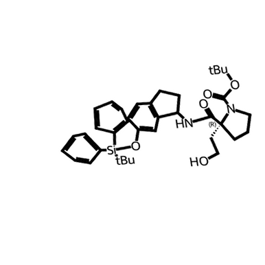 CC(C)(C)OC(=O)N1CCC[C@@]1(CCO)C(=O)NC1CCc2ccc(O[Si](c3ccccc3)(c3ccccc3)C(C)(C)C)cc21